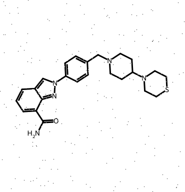 NC(=O)c1cccc2cn(-c3ccc(CN4CCC(N5CCSCC5)CC4)cc3)nc12